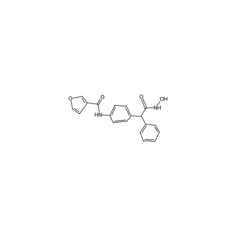 O=C(Nc1ccc(C(C(=O)NO)c2ccccc2)cc1)c1ccoc1